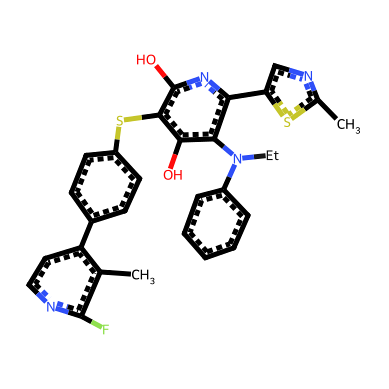 CCN(c1ccccc1)c1c(-c2cnc(C)s2)nc(O)c(Sc2ccc(-c3ccnc(F)c3C)cc2)c1O